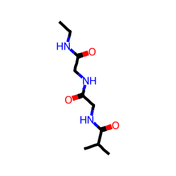 CCNC(=O)CNC(=O)CNC(=O)C(C)C